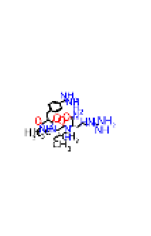 CCC(C)[C@@H](C(=O)N[C@@H](CCCNC(=N)N)C(N)=O)N(C)C(=O)C(Cc1ccc(C(=N)N)cc1)C(=O)NC